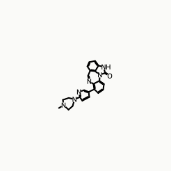 CN1CCN(c2ccc(-c3cccc4c3N=Cc3cccc5[nH]c(=O)n-4c35)cn2)CC1